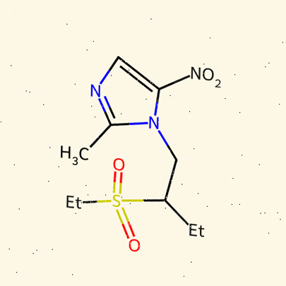 CCC(Cn1c([N+](=O)[O-])cnc1C)S(=O)(=O)CC